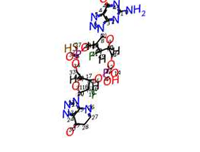 Nc1nc2c(nnn2[C@@H]2O[C@@H]3COP(=O)(O)O[C@H]4[C@H](F)[C@H](n5nnc6c5N=CCC6=O)O[C@@H]4COP(=O)(S)O[C@@H]2[C@@H]3F)c(=O)[nH]1